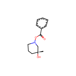 C[C@@]1(O)CCCN(OC(=O)c2ccccc2)C1